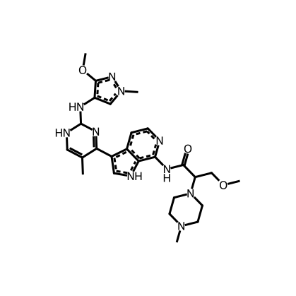 COCC(C(=O)Nc1nccc2c(C3=NC(Nc4cn(C)nc4OC)NC=C3C)c[nH]c12)N1CCN(C)CC1